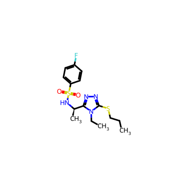 CCCSc1nnc([C@@H](C)NS(=O)(=O)c2ccc(F)cc2)n1CC